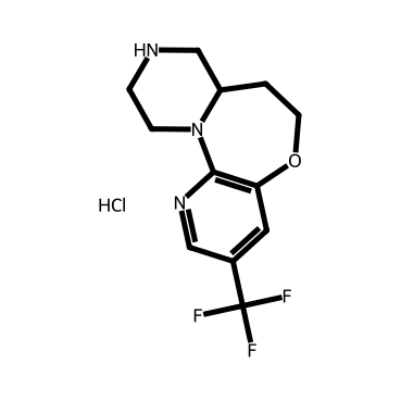 Cl.FC(F)(F)c1cnc2c(c1)OCCC1CNCCN21